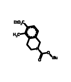 CCOC(=O)c1ccc2c(c1C)CCN(C(=O)OC(C)(C)C)C2